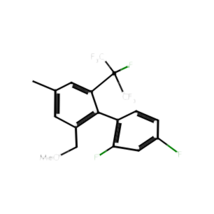 COCc1[c]c(C)cc(C(F)(C(F)(F)F)C(F)(F)F)c1-c1ccc(F)cc1F